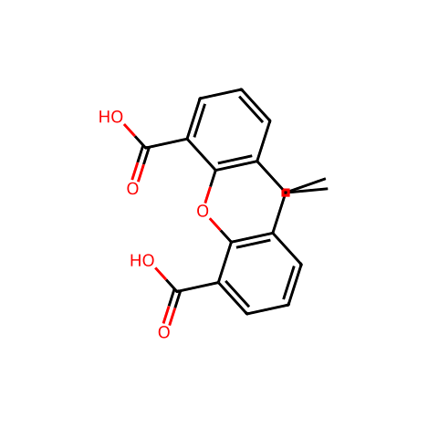 CCc1cccc(C(=O)O)c1Oc1c(CC)cccc1C(=O)O